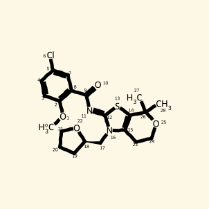 COc1ccc(Cl)cc1C(=O)/N=c1\sc2c(n1C[C@H]1CCCO1)CCOC2(C)C